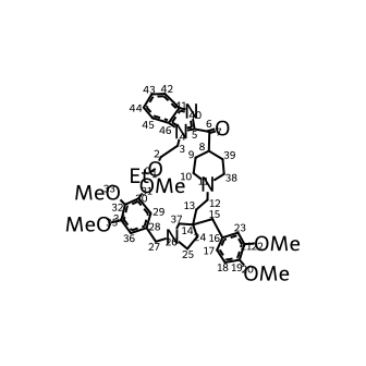 CCOCCn1c(C(=O)C2CCN(CCC3(Cc4ccc(OC)c(OC)c4)CCN(Cc4cc(OC)c(OC)c(OC)c4)C3)CC2)nc2ccccc21